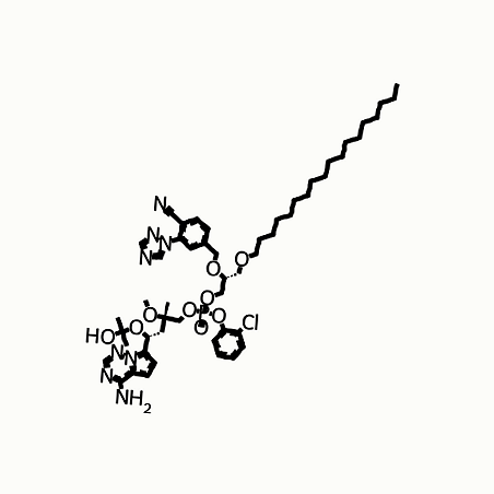 CCCCCCCCCCCCCCCCCCOC[C@H](COP(=O)(OC[C@](C)(C[C@@H](OC(C)(C)O)c1ccc2c(N)ncnn12)OC)Oc1ccccc1Cl)OCc1ccc(C#N)c(-n2cncn2)c1